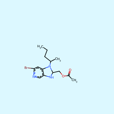 CCCC(C)N1c2cc(Br)ncc2NC1COC(C)=O